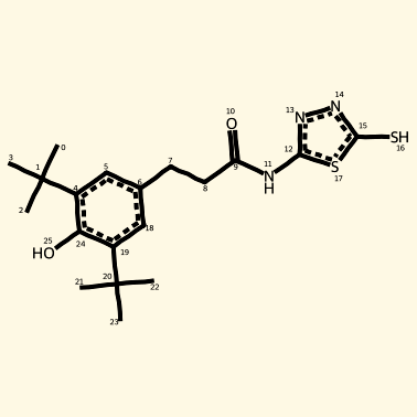 CC(C)(C)c1cc(CCC(=O)Nc2nnc(S)s2)cc(C(C)(C)C)c1O